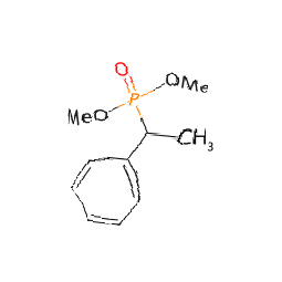 COP(=O)(OC)C(C)c1ccccc1